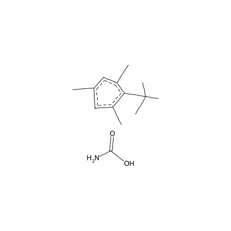 Cc1cc(C)c(C(C)(C)C)c(C)c1.NC(=O)O